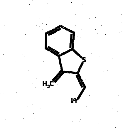 C=c1/c(=C\C(C)C)sc2ccccc12